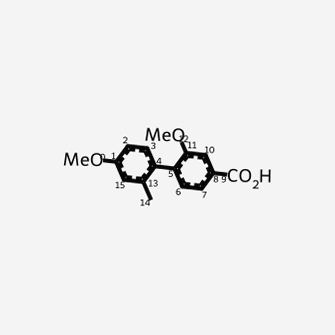 COc1ccc(-c2ccc(C(=O)O)cc2OC)c(C)c1